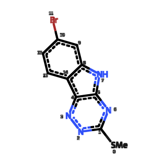 CSc1nnc2c(n1)[nH]c1cc(Br)ccc12